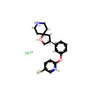 Brc1ccc(Oc2cccc([C@H]3COC4(CCNCC4)C3)c2)nc1.Cl